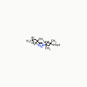 CCCCCCCC(C)(C)CC(C)(C)n1cc(C(C)(C)CC(C)(C)C(C)=O)nn1